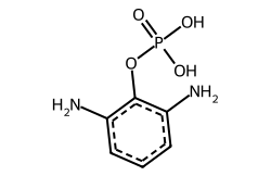 Nc1cccc(N)c1OP(=O)(O)O